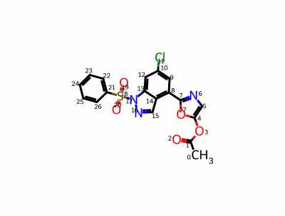 CC(=O)Oc1cnc(-c2cc(Cl)cc3c2cnn3S(=O)(=O)c2ccccc2)o1